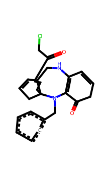 O=C1CC=CC2=C1N(Cc1ccccc1)C13CC=CC1(CN2)C(C(=O)CCl)CC3